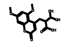 COc1cc(OC)c2c(CC(C(=O)O)C(O)O)cc(=O)oc2c1